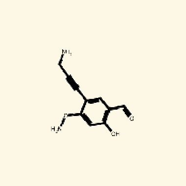 NCC#Cc1cc(C=O)c(O)cc1ON